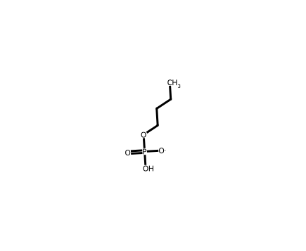 CCCCOP([O])(=O)O